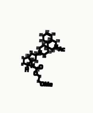 COCCOC(=O)N1[C@@H]2CCC3CC(N4CCC5(CC4)CN(C(C)=O)CC4=C5CCC=C4)CC321